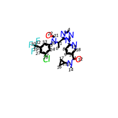 CC(c1ncnn1-c1ccc(C(=O)N(C)C2CC2)cn1)N(C=O)c1cc(Cl)cc(C(F)(F)F)c1